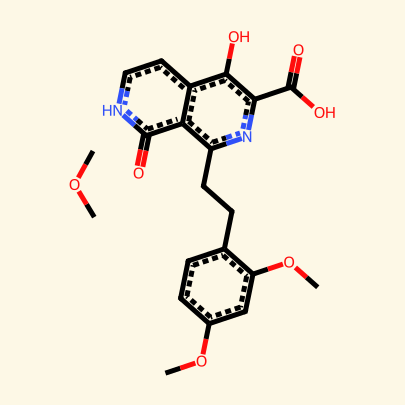 COC.COc1ccc(CCc2nc(C(=O)O)c(O)c3cc[nH]c(=O)c23)c(OC)c1